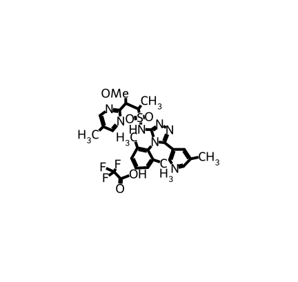 COC(c1ncc(C)cn1)C(C)S(=O)(=O)Nc1nnc(-c2cncc(C)c2)n1-c1c(C)cccc1C.O=C(O)C(F)(F)F